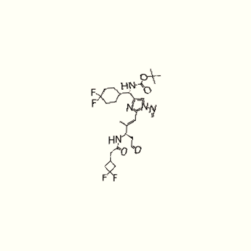 C=Nn1cc([C@@H](NC(=O)OC(C)(C)C)C2CCC(F)(F)CC2)nc1/C=C(\C)[C@@H](CC=O)NC(=O)CC1CC(F)(F)C1